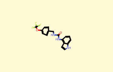 O=C(NCc1ccc(OC(F)(F)F)cc1)Nc1cccc2[nH]ccc12